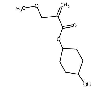 C=C(COC)C(=O)OC1CCC(O)CC1